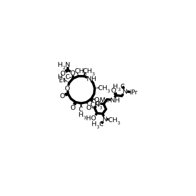 CC[C@H]1OC(=O)CC(=O)[C@H](C)[C@@H](O[C@@H]2OC(CNC(=O)CN(C)C(C)C)CC(N(C)C)C2O)[C@](C)(OC)C[C@@H](C)CN[C@H](C)[C@@H](C)[C@]1(C)OC(N)=O